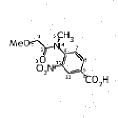 COCC(=O)N(C)c1ccc(C(=O)O)cc1[N+](=O)[O-]